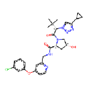 CC(C)(C)[C@@H](C(=O)N1C[C@H](O)C[C@H]1C(=O)NCc1cc(Oc2cccc(Cl)c2)ccn1)n1cc(C2CC2)nn1